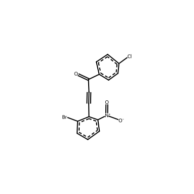 O=C(C#Cc1c(Br)cccc1[N+](=O)[O-])c1ccc(Cl)cc1